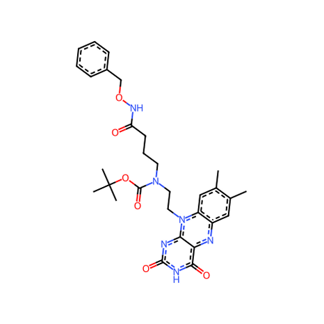 Cc1cc2nc3c(=O)[nH]c(=O)nc-3n(CCN(CCCC(=O)NOCc3ccccc3)C(=O)OC(C)(C)C)c2cc1C